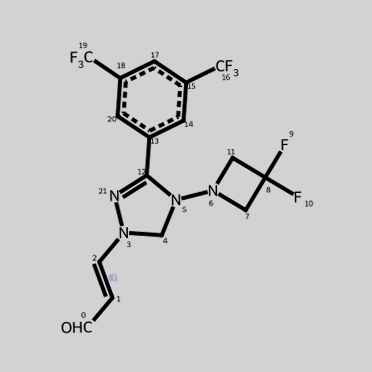 O=C/C=C/N1CN(N2CC(F)(F)C2)C(c2cc(C(F)(F)F)cc(C(F)(F)F)c2)=N1